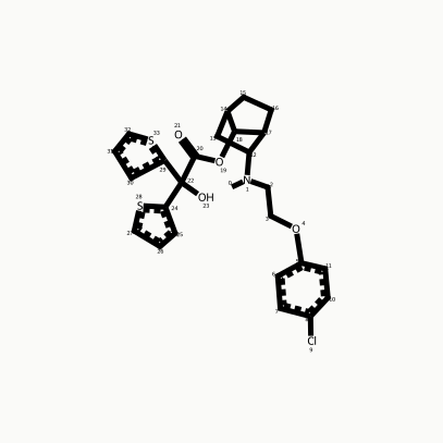 CN(CCOc1ccc(Cl)cc1)C1CC2CCC1C2OC(=O)C(O)(c1cccs1)c1cccs1